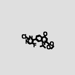 CC(C)n1c(C2OCCO2)cc(=O)c2ccc(-c3nc(Cl)ncc3F)cc21